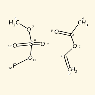 C=COC(C)=O.COS(=O)(=O)OF